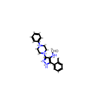 Cc1ccccc1-c1[nH]nc(N2CCN(c3ccccc3)CC2)c1NC=O